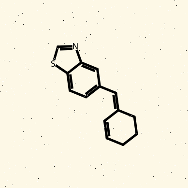 C1=CC(=Cc2ccc3scnc3c2)CCC1